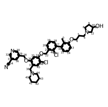 Cc1c(OCCCN2CCC(O)C2)cccc1-c1cccc(COc2cc(OCc3cncc(C#N)c3)c(CN3CCCCC3)cc2Cl)c1Cl